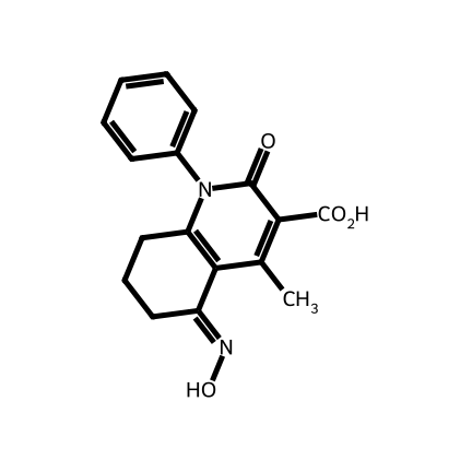 Cc1c2c(n(-c3ccccc3)c(=O)c1C(=O)O)CCC/C2=N\O